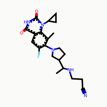 Cc1c(N2CCC(C(C)NCCC#N)C2)c(F)cc2c(=O)[nH]c(=O)n(C3CC3)c12